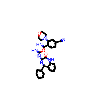 N#Cc1ccc(C(=N)OC(=N)NC2N=C(c3ccccc3)c3ccccc3NC2=O)c(N2CCOCC2)c1